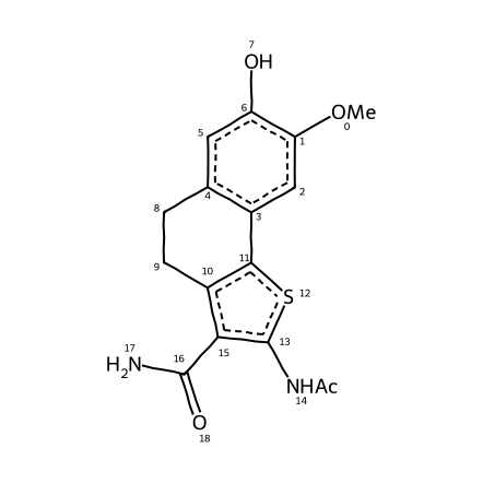 COc1cc2c(cc1O)CCc1c-2sc(NC(C)=O)c1C(N)=O